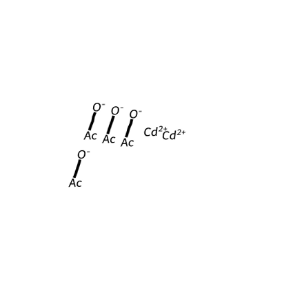 CC(=O)[O-].CC(=O)[O-].CC(=O)[O-].CC(=O)[O-].[Cd+2].[Cd+2]